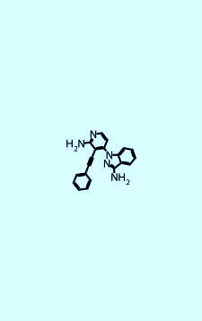 Nc1nccc(-n2nc(N)c3ccccc32)c1C#Cc1ccccc1